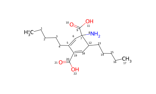 CCCCCC1=CC(N)(C(=O)O)C(CCCCC)C=C1C(=O)O